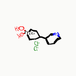 [Cl-].[Cl-].[OH][Ti+2]1([OH])[CH2]CC(c2cccnc2)C[CH2]1